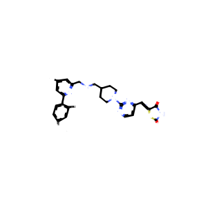 Cc1cc(CNCC2CCN(c3nccc(/C=C4\SC(=O)NC4=O)n3)CC2)nc(-c2ccc(C(F)(F)F)cc2C(F)(F)F)c1